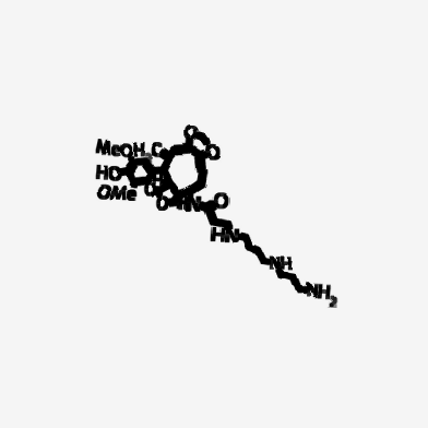 C=C1/C=C2/OCO/C2=C/C[C@@H](NC(=O)CCNCCCCNCCCN)[C@H]2COC(=O)[C@@H]2C1c1cc(OC)c(O)c(OC)c1